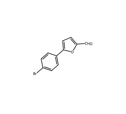 O=Cc1ccc(-c2ccc(Br)cc2)o1